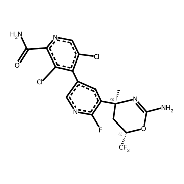 C[C@@]1(c2cc(-c3c(Cl)cnc(C(N)=O)c3Cl)cnc2F)C[C@@H](C(F)(F)F)OC(N)=N1